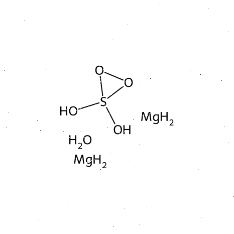 O.OS1(O)OO1.[MgH2].[MgH2]